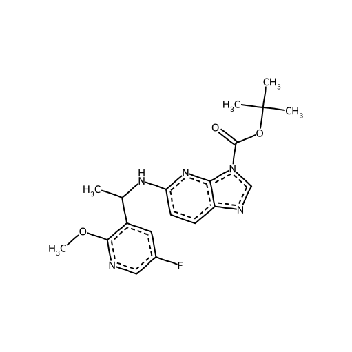 COc1ncc(F)cc1C(C)Nc1ccc2ncn(C(=O)OC(C)(C)C)c2n1